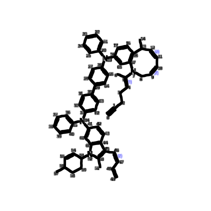 C#CCC/C=C(\C)N1C/C=C\C=C/C(C)c2ccc(N(c3ccccc3)c3ccc(-c4ccc(N(c5ccccc5)c5ccc6c(/C=C\C=C)c(C)n(C7C=CC(C)CC7)c6c5)cc4)cc3)cc21